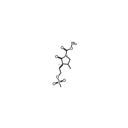 CC1CN(C(=O)OC(C)(C)C)C(=O)/C1=C/COS(C)(=O)=O